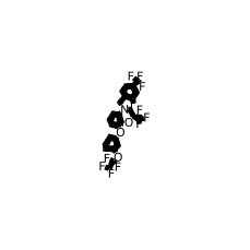 OC(CN(Cc1ccc(C(F)(F)F)cc1F)c1cccc(Oc2cccc(OC(F)(F)C(F)F)c2)c1)C(F)(F)F